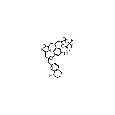 O=C(CC(Cc1nc(CCCc2ccc3c(n2)NCCC3)no1)c1cc(Cl)cc(Cl)c1)OC(=O)C(F)(F)F